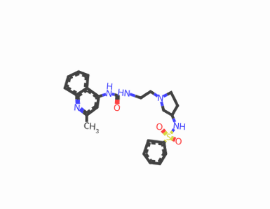 Cc1cc(NC(=O)NCCN2CCC(NS(=O)(=O)c3ccccc3)C2)c2ccccc2n1